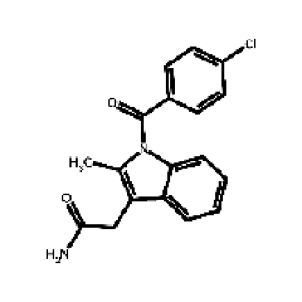 Cc1c(CC(N)=O)c2ccccc2n1C(=O)c1ccc(Cl)cc1